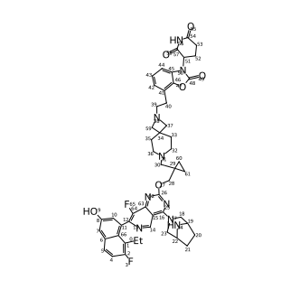 CCc1c(F)ccc2cc(O)cc(-c3ncc4c(N5CC6CCC(C5)N6)nc(OCC5(CN6CCC7(CC6)CN(CCc6cccc8c6oc(=O)n8C6CCC(=O)NC6=O)C7)CC5)nc4c3F)c12